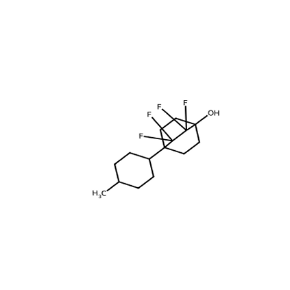 CC1CCC(C23CCC(O)(CC2)C(F)(F)C3(F)F)CC1